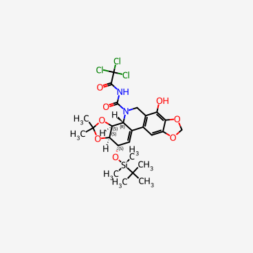 CC1(C)O[C@@H]2[C@H](O1)[C@@H](O[Si](C)(C)C(C)(C)C)C=C1c3cc4c(c(O)c3CN(C(=O)NC(=O)C(Cl)(Cl)Cl)[C@H]12)OCO4